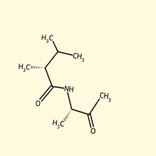 CC(=O)[C@H](C)NC(=O)[C@H](C)C(C)C